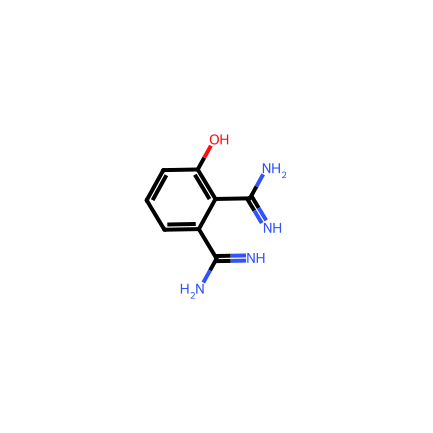 N=C(N)c1cccc(O)c1C(=N)N